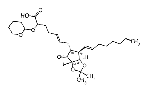 CCCCCCC=C[C@H]1[C@H]2OC(C)(C)O[C@@H]2C(=O)[C@@H]1CC=CCCC(OC1CCCCO1)C(=O)O